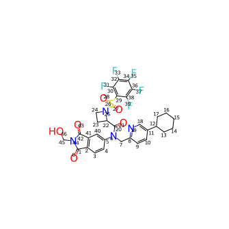 O=C1c2ccc(N(Cc3ccc(C4CCCCC4)cn3)C(=O)C3CCN3S(=O)(=O)c3c(F)c(F)c(F)c(F)c3F)cc2C(=O)N1CO